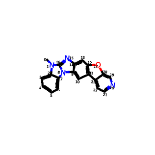 Cn1c2ccccc2n2c3cc4c(cc3nc12)oc1cnccc14